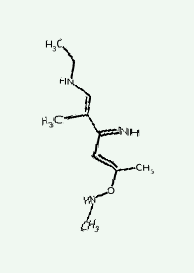 CCN/C=C(\C)C(=N)/C=C(\C)ONC